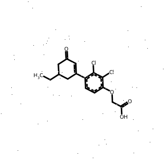 CCC1CC(=O)C=C(c2ccc(OCC(=O)O)c(Cl)c2Cl)C1